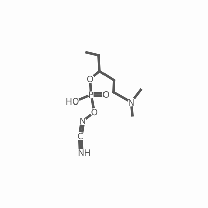 CCC(CCN(C)C)OP(=O)(O)ON=C=N